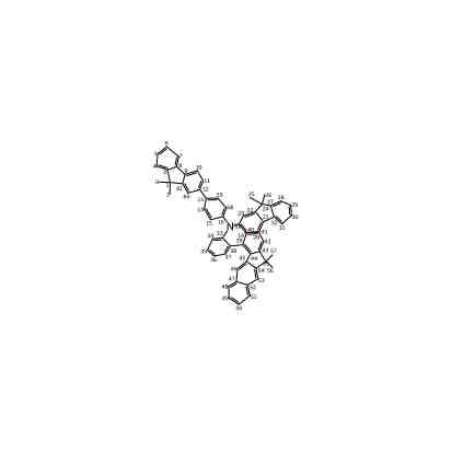 CC1(C)c2ccccc2-c2ccc(-c3ccc(N(c4ccc5c(c4)C(C)(C)c4ccccc4-5)c4ccccc4-c4cccc5c4-c4cc6ccccc6cc4C5(C)C)cc3)cc21